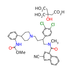 COC(=O)Nc1ccccc1C1CCN(CCC(CN(C)C(=O)c2cc(C#N)cc3ccccc23)c2ccc(Cl)c(Cl)c2)CC1.O=C(O)CC(O)(CC(=O)O)C(=O)O